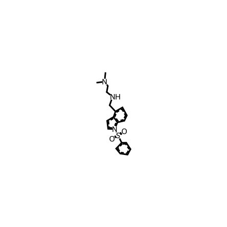 CN(C)CCNCc1cccc2c1ccn2S(=O)(=O)c1ccccc1